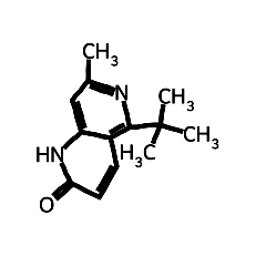 Cc1cc2[nH]c(=O)ccc2c(C(C)(C)C)n1